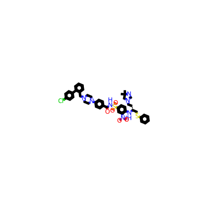 CC1(C)CN(CC[C@H](CSc2ccccc2)Nc2ccc(S(=O)(=O)NC(=O)c3ccc(N4CCN(Cc5ccccc5-c5ccc(Cl)cc5)CC4)cc3)cc2[N+](=O)[O-])C=N1